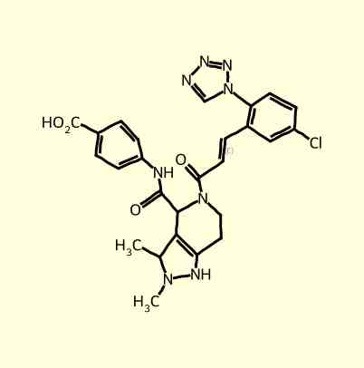 CC1C2=C(CCN(C(=O)/C=C/c3cc(Cl)ccc3-n3cnnn3)C2C(=O)Nc2ccc(C(=O)O)cc2)NN1C